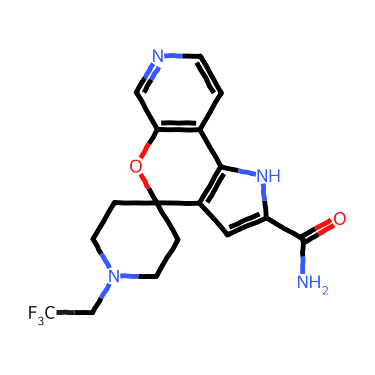 NC(=O)c1cc2c([nH]1)-c1ccncc1OC21CCN(CC(F)(F)F)CC1